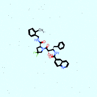 Cc1ccccc1CNC(=O)[C@@H]1CC(F)(F)CN1C(=O)[C@@H](O)[C@H](Cc1ccccc1)NC(=O)c1ccc2ncccc2c1